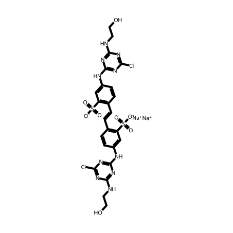 O=S(=O)([O-])c1cc(Nc2nc(Cl)nc(NCCO)n2)ccc1C=Cc1ccc(Nc2nc(Cl)nc(NCCO)n2)cc1S(=O)(=O)[O-].[Na+].[Na+]